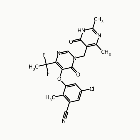 Cc1nc(C)c(Cn2cnc(C(C)(F)F)c(Oc3cc(Cl)cc(C#N)c3C)c2=O)c(=O)[nH]1